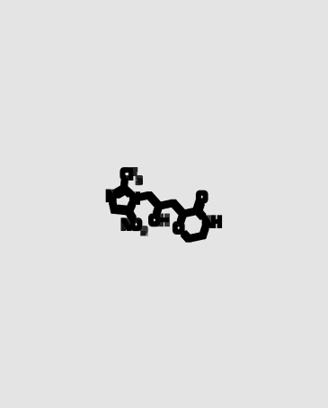 O=C1NCCOC1CC(O)Cn1c([N+](=O)[O-])cnc1C(F)(F)F